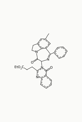 CCOC(=O)CCc1nc2ccccc2c(=O)n1C1N=C(c2ccccc2)c2cc(C)cc3c2N(CC3)C1=O